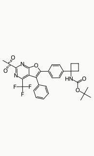 CC(C)(C)OC(=O)NC1(c2ccc(-c3oc4nc(S(C)(=O)=O)nc(C(F)(F)F)c4c3-c3ccccc3)cc2)CCC1